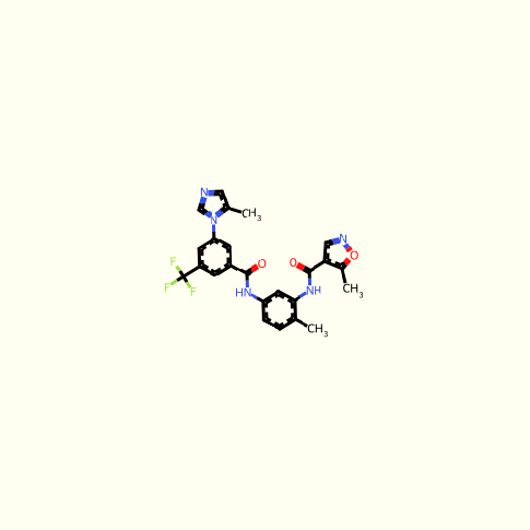 Cc1ccc(NC(=O)c2cc(-n3cncc3C)cc(C(F)(F)F)c2)cc1NC(=O)c1cnoc1C